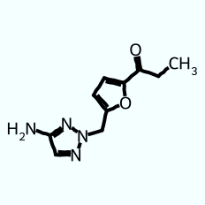 CCC(=O)c1ccc(Cn2ncc(N)n2)o1